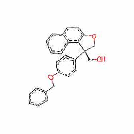 OC[C@]1(c2ccc(OCc3ccccc3)cc2)COc2ccc3ccccc3c21